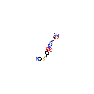 Cc1cc(CCN2CCN(C(=O)Oc3ccc(CCSc4ccncc4)cc3)CC2)on1